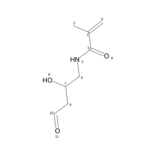 C=C(C)C(=O)NCC(O)CC=O